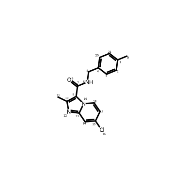 Cc1ccc(CNC(=O)c2c(C)nc3cc(Cl)ccn23)cc1